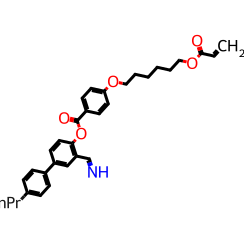 C=CC(=O)OCCCCCCOc1ccc(C(=O)Oc2ccc(-c3ccc(CCC)cc3)cc2C=N)cc1